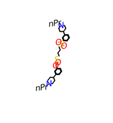 CCCN1CCC(c2cccc(OOSCCCCS(=O)(=O)c3cccc(C4CCN(CCC)CC4)c3)c2)CC1